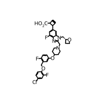 O=C(O)C1C#CC1c1cc(F)c2nc(CN3CCC(Oc4ccc(F)c(COc5ccc(Cl)cc5F)c4)CC3)n(C[C@@H]3CCO3)c2c1